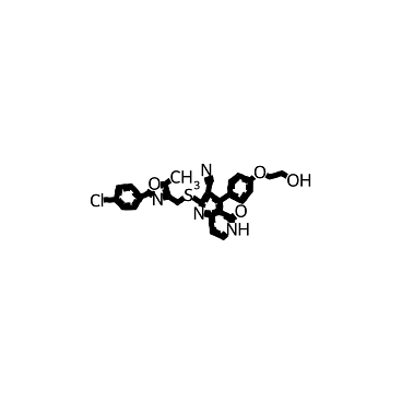 Cc1oc(-c2ccc(Cl)cc2)nc1CSc1nc2cc[nH]c(=O)c2c(-c2ccc(OCCO)cc2)c1C#N